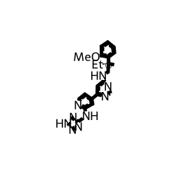 CC[C@](C)(CNc1cc(-c2ccnc(Nc3nn[nH]n3)c2)ncn1)c1ccccc1OC